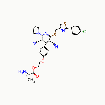 C[C@H](N)C(=O)OCCOc1ccc(-c2c(C#N)c(SCc3csc(C4C=CC(Cl)=CC4)n3)nc(N3CCCC3)c2C#N)cc1